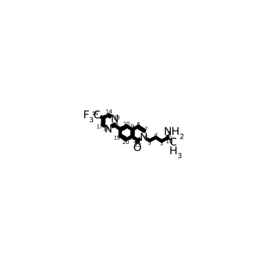 C[C@H](N)CCCn1ccc2cc(-c3ncc(C(F)(F)F)cn3)ccc2c1=O